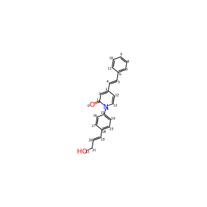 O=c1cc(C=Cc2ccccc2)ccn1-c1ccc(C=CCO)cc1